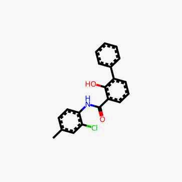 Cc1ccc(NC(=O)c2cccc(-c3ccccc3)c2O)c(Cl)c1